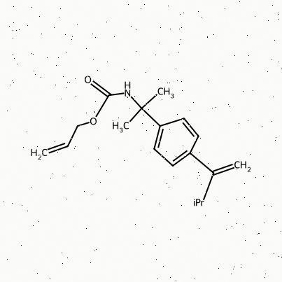 C=CCOC(=O)NC(C)(C)c1ccc(C(=C)C(C)C)cc1